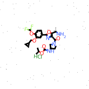 CC(C)OC(=O)N[C@@H]1CCN(C(=O)c2nc(-c3ccc(OC(F)F)c(OCC4CC4)c3)oc2[C@H](C)N)C1.Cl